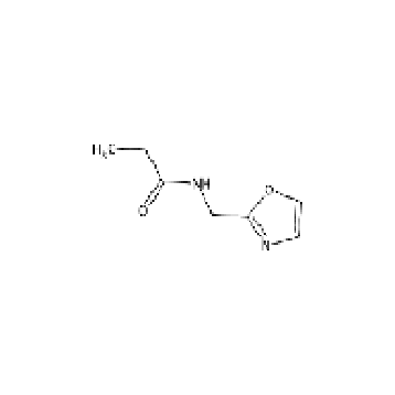 CCC(=O)NCc1ncco1